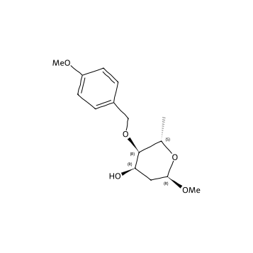 COc1ccc(CO[C@@H]2[C@H](O)C[C@H](OC)O[C@H]2C)cc1